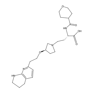 O=C(N[C@@H](CCN1CC[C@@H](OCCc2ccc3c(n2)NCCC3)C1)C(=O)O)C1CCOCC1